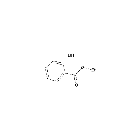 CCOS(=O)c1ccccc1.[LiH]